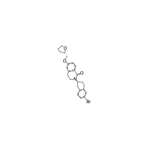 O=C1c2ccc(OC[C@@H]3CCCO3)cc2CCN1[C@H]1CCc2cc(Br)ccc2C1